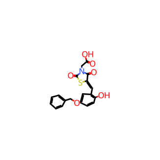 O=C(O)CN1C(=O)S/C(=C\c2cc(OCc3ccccc3)ccc2O)C1=O